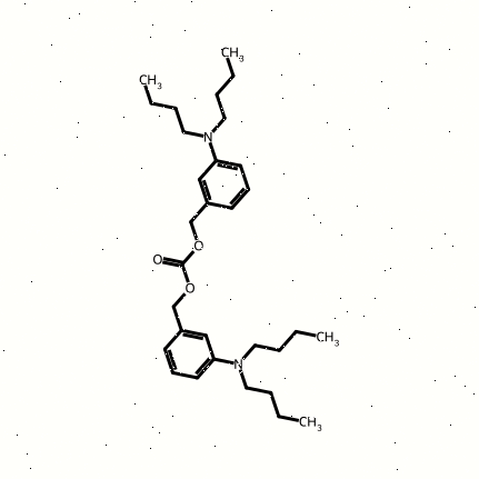 CCCCN(CCCC)c1cccc(COC(=O)OCc2cccc(N(CCCC)CCCC)c2)c1